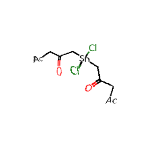 CC(=O)CC(=O)[CH2][Sn]([Cl])([Cl])[CH2]C(=O)CC(C)=O